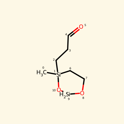 C[Si]1(CCC=O)CCO[SiH2]O1